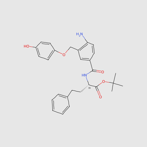 CC(C)(C)OC(=O)[C@H](CCc1ccccc1)NC(=O)c1ccc(N)c(COc2ccc(O)cc2)c1